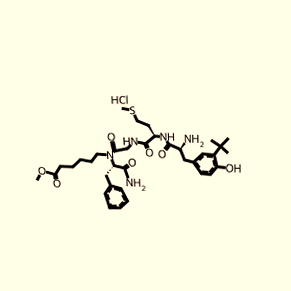 COC(=O)CCCCCN(C(=O)CNC(=O)[C@@H](CCSC)NC(=O)[C@@H](N)Cc1ccc(O)c(C(C)(C)C)c1)[C@@H](Cc1ccccc1)C(N)=O.Cl